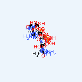 CCCC(=O)NC[C@H]1[C@@H](O)[C@H](n2c[n+](C)c3c(=O)[nH]c(N)nc32)O[C@@H]1COP(=O)(O)OP(=O)(O)OP(=O)(O)OC[C@H]1O[C@@H](n2cnc3c(N)ncnc32)[C@H](OC)[C@@H]1P(=O)([O-])OC[C@H]1O[C@@H](n2ccc(=O)[nH]c2=O)[C@H](O)[C@@H]1O